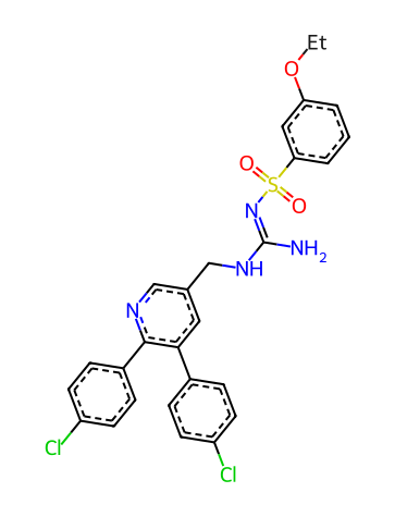 CCOc1cccc(S(=O)(=O)/N=C(\N)NCc2cnc(-c3ccc(Cl)cc3)c(-c3ccc(Cl)cc3)c2)c1